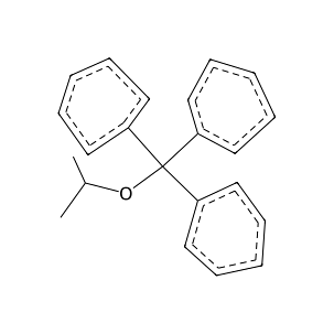 CC(C)OC(c1ccccc1)(c1ccccc1)c1ccccc1